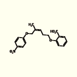 CC(=CCCOc1ccccc1C(=O)O)COc1ccc([N+](=O)[O-])cc1